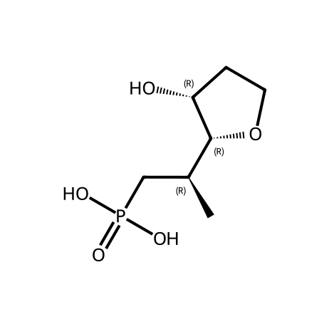 C[C@@H](CP(=O)(O)O)[C@H]1OCC[C@H]1O